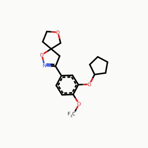 FC(F)(F)Oc1ccc(C2=NOC3(CCOC3)C2)cc1OC1CCCC1